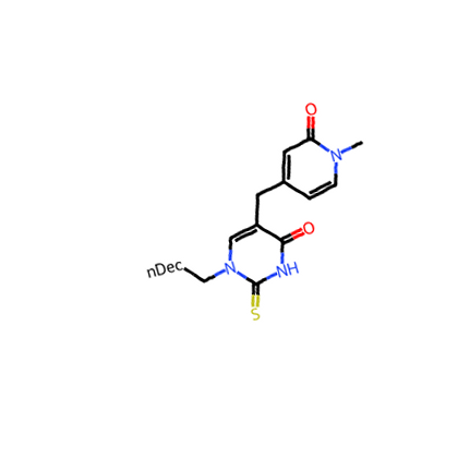 CCCCCCCCCCCn1cc(Cc2ccn(C)c(=O)c2)c(=O)[nH]c1=S